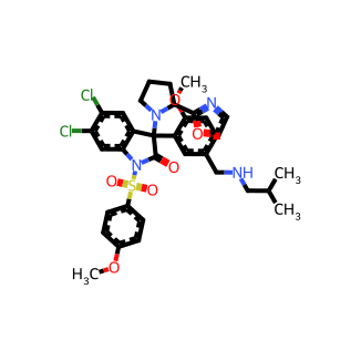 COc1ccc(S(=O)(=O)N2C(=O)C(c3cc(CNCC(C)C)ccc3OC)(N3CCCC3c3ncco3)c3cc(Cl)c(Cl)cc32)cc1